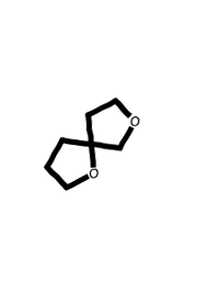 C1COC2(C1)CCOC2